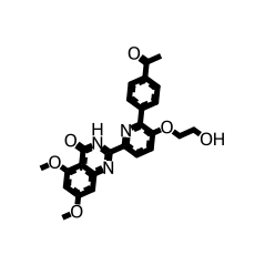 COc1cc(OC)c2c(=O)[nH]c(-c3ccc(OCCO)c(-c4ccc(C(C)=O)cc4)n3)nc2c1